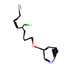 CC/C=C\C(Cl)CCOc1cccnc1